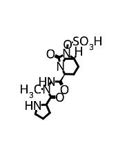 CN(NC(=O)[C@@H]1CC[C@@H]2CN1C(=O)N2OS(=O)(=O)O)C(=O)C1CCCN1